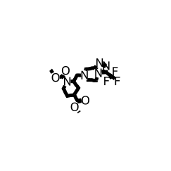 COC(=O)C1CCN(C(=O)OC)C(CN2CCn3c(nnc3C(F)(F)F)C2)C1